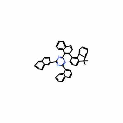 CC1(C)c2ccccc2-c2c(-c3ccc4ccccc4c3-c3nc(-c4ccc5ccccc5c4)nc(-c4cccc5ccccc45)n3)cccc21